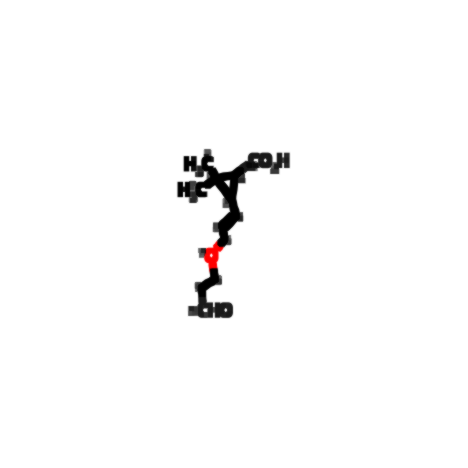 CC1(C)C(C=CCOCCC=O)C1C(=O)O